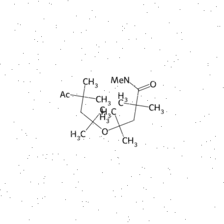 CNC(=O)C(C)(C)CC(C)(C)OC(C)(C)CC(C)(C)C(C)=O